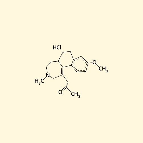 COc1ccc2c(c1)CCC1CCN(C)CC(CC(C)=O)=C21.Cl